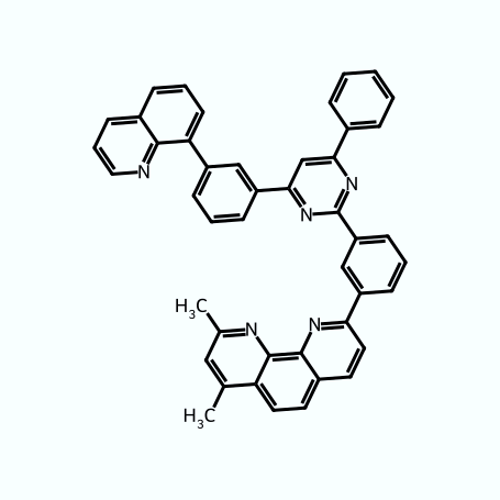 Cc1cc(C)c2ccc3ccc(-c4cccc(-c5nc(-c6ccccc6)cc(-c6cccc(-c7cccc8cccnc78)c6)n5)c4)nc3c2n1